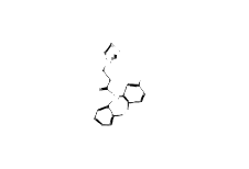 O=C(CCn1ccnc1)N1c2ccccc2Sc2ccc(C(F)(F)F)cc21